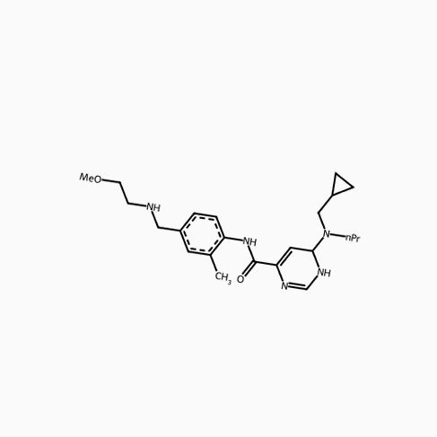 CCCN(CC1CC1)C1C=C(C(=O)Nc2ccc(CNCCOC)cc2C)N=CN1